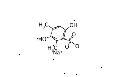 Cc1cc(O)c(S(=O)(=O)[O-])c(C)c1O.[Na+]